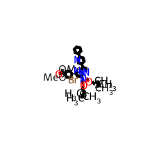 COC(=O)[C@]1(OC)CC[C@@H](c2nc3c(-c4ccc(-c5ccccc5)nc4)cnn3c(N(COCC[Si](C)(C)C)COCC[Si](C)(C)C)c2Br)CC1